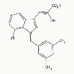 Cc1cc(Cn2cc(/C=C(\C#N)C(=O)O)c3cccc(Cl)c32)cc(C(F)(F)F)c1